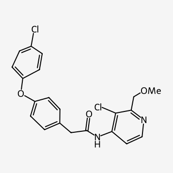 COCc1nccc(NC(=O)Cc2ccc(Oc3ccc(Cl)cc3)cc2)c1Cl